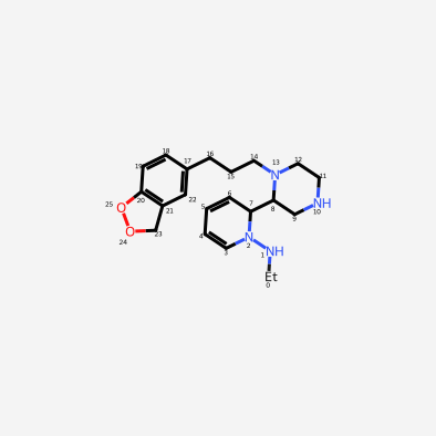 CCNN1C=CC=CC1C1CNCCN1CCCc1ccc2c(c1)COO2